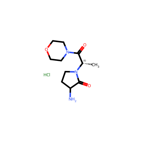 C[C@@H](C(=O)N1CCOCC1)N1CCC(N)C1=O.Cl